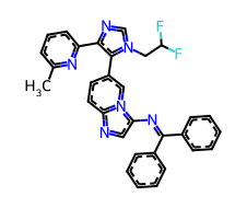 Cc1cccc(-c2ncn(CC(F)F)c2-c2ccc3ncc(N=C(c4ccccc4)c4ccccc4)n3c2)n1